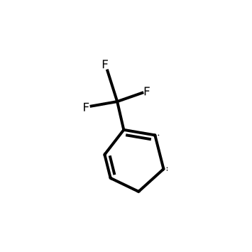 FC(F)(F)C1=[C][C]CC=C1